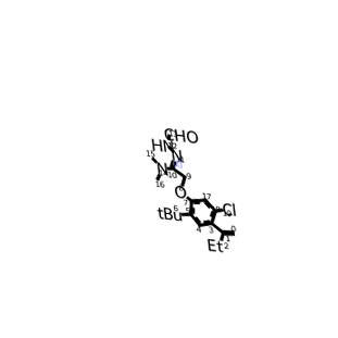 C=C(CC)c1cc(C(C)(C)C)c(OC/C(=N/NC=O)N(C)C)cc1Cl